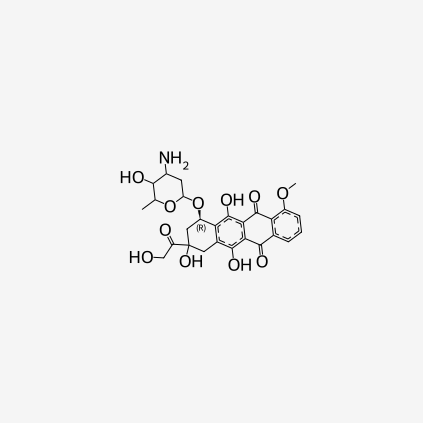 COc1cccc2c1C(=O)c1c(O)c3c(c(O)c1C2=O)CC(O)(C(=O)CO)C[C@H]3OC1CC(N)C(O)C(C)O1